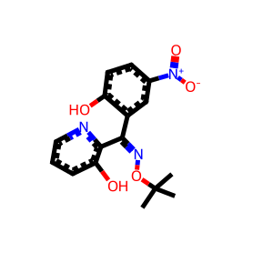 CC(C)(C)ON=C(c1cc([N+](=O)[O-])ccc1O)c1ncccc1O